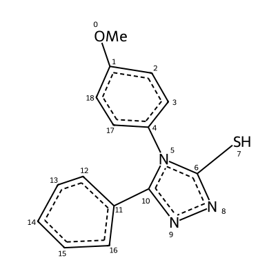 COc1ccc(-n2c(S)nnc2-c2ccccc2)cc1